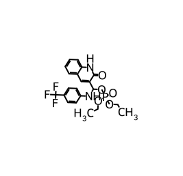 CCOP(=O)(OCC)OC(Nc1ccc(C(F)(F)F)cc1)c1cc2ccccc2[nH]c1=O